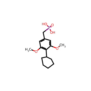 COc1cc(CP(=O)(O)O)cc(OC)c1C1CCCCC1